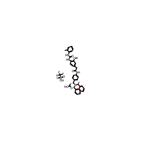 COc1cc(CC(=O)Nc2ccc([C@@H](CC(=O)O)N(Cc3ccccc3)[C@@H](C)c3ccccc3)cc2)ccc1NC(=O)Nc1ccccc1C.O=S(=O)(O)C(F)(F)F